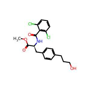 COC(=O)[C@H](Cc1ccc(CCCO)cc1)NC(=O)c1c(Cl)cccc1Cl